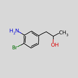 CC(O)Cc1ccc(Br)c(N)c1